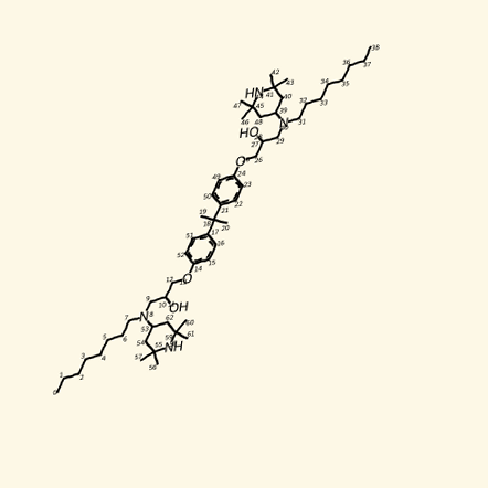 CCCCCCCCN(CC(O)COc1ccc(C(C)(C)c2ccc(OCC(O)CN(CCCCCCCC)C3CC(C)(C)NC(C)(C)C3)cc2)cc1)C1CC(C)(C)NC(C)(C)C1